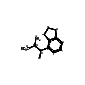 C[C@H](c1cccc2c1CCC2)[C@H](N)C(=O)O